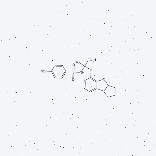 N#Cc1ccc(S(=O)(=O)NC(O)(Oc2cccc3c2OC2CCCC32)C(=O)O)cc1